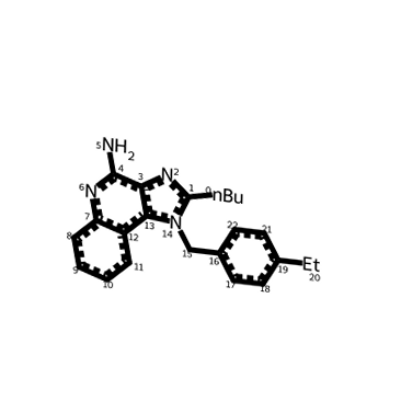 CCCCc1nc2c(N)nc3ccccc3c2n1Cc1ccc(CC)cc1